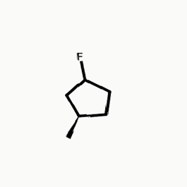 C[C@@H]1CCC(F)C1